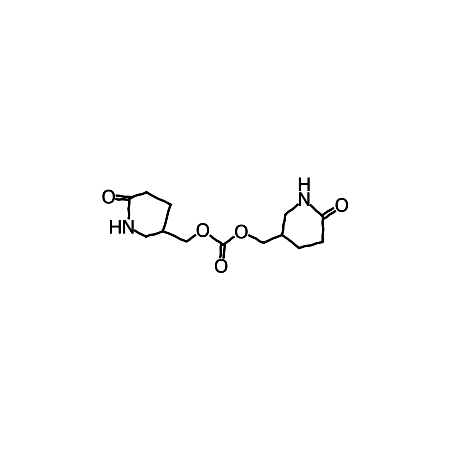 O=C1CCC(COC(=O)OCC2CCC(=O)NC2)CN1